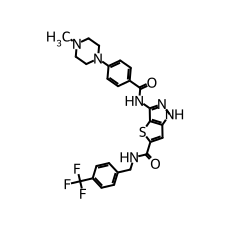 CN1CCN(c2ccc(C(=O)Nc3n[nH]c4cc(C(=O)NCc5ccc(C(F)(F)F)cc5)sc34)cc2)CC1